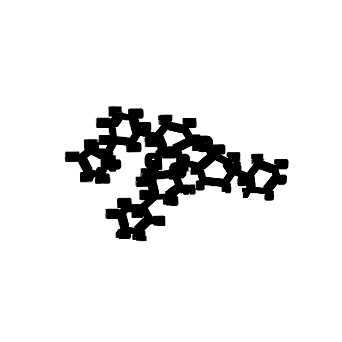 O=P12c3ccc(-c4ccccc4)cc3Oc3ccc(-c4cccc(-c5ccccn5)c4)c(c31)Oc1cc(-c3ccccc3)ccc12